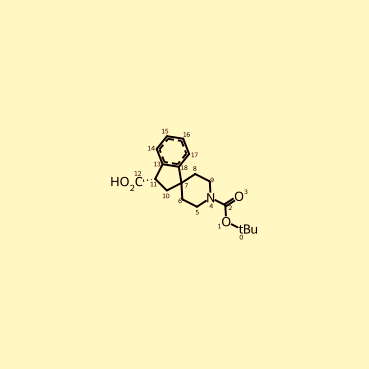 CC(C)(C)OC(=O)N1CCC2(CC1)C[C@H](C(=O)O)c1ccccc12